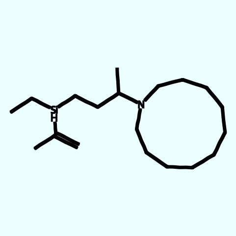 C=C(C)[SiH](CC)CCC(C)N1CCCCCCCCCC1